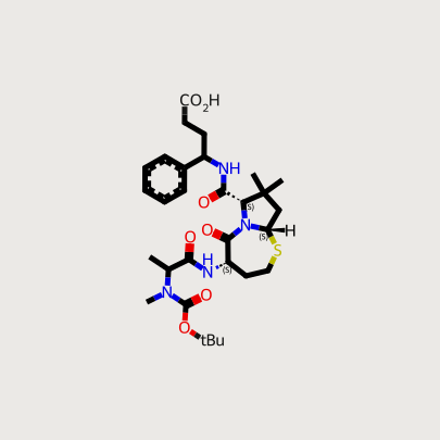 CC(C(=O)N[C@H]1CCS[C@H]2CC(C)(C)[C@@H](C(=O)NC(CCC(=O)O)c3ccccc3)N2C1=O)N(C)C(=O)OC(C)(C)C